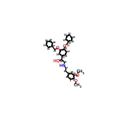 COc1ccc(CCNCC(O)c2ccc(OCc3ccccc3)c(OCc3ccccc3)c2)cc1OC